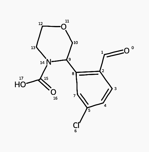 O=Cc1ccc(Cl)cc1C1COCCN1C(=O)O